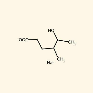 CC(O)C(C)CCC(=O)[O-].[Na+]